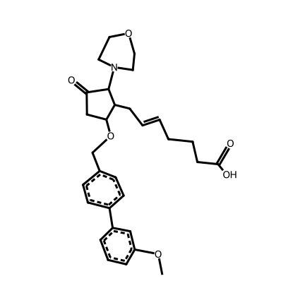 COc1cccc(-c2ccc(COC3CC(=O)C(N4CCOCC4)C3CC=CCCCC(=O)O)cc2)c1